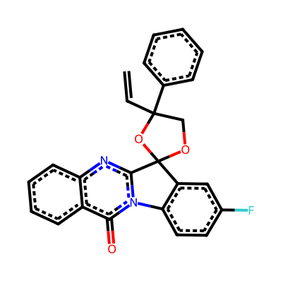 C=CC1(c2ccccc2)COC2(O1)c1cc(F)ccc1-n1c2nc2ccccc2c1=O